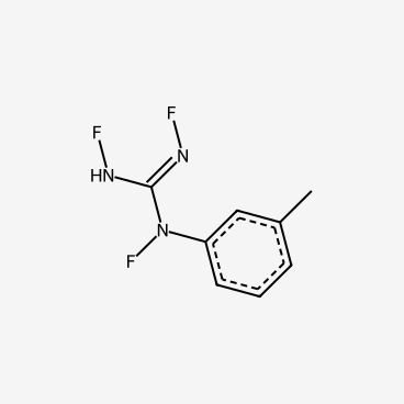 Cc1cccc(N(F)C(=NF)NF)c1